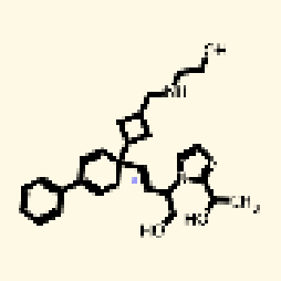 CC(O)c1nccn1C(/C=C/C1(C2CC(CNCCO)C2)C=CC(c2ccccc2)=CC1)CO